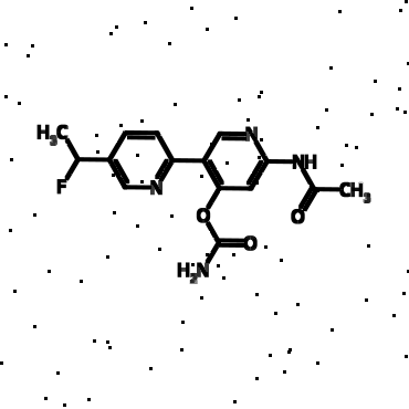 CC(=O)Nc1cc(OC(N)=O)c(-c2ccc(C(C)F)cn2)cn1